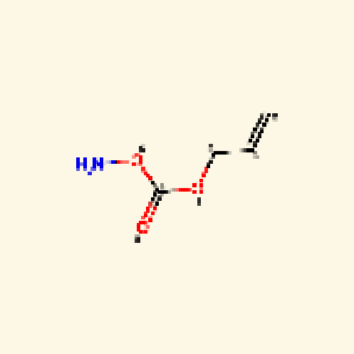 C=CCOC(=O)ON